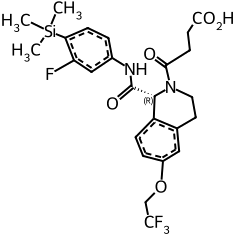 C[Si](C)(C)c1ccc(NC(=O)[C@H]2c3ccc(OCC(F)(F)F)cc3CCN2C(=O)CCC(=O)O)cc1F